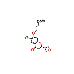 COCCCOc1cc2c(cc1Cl)C(=O)CC(C1COC1)O2